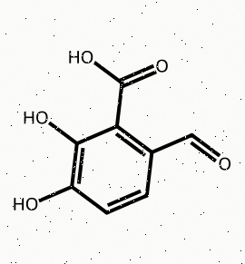 O=Cc1ccc(O)c(O)c1C(=O)O